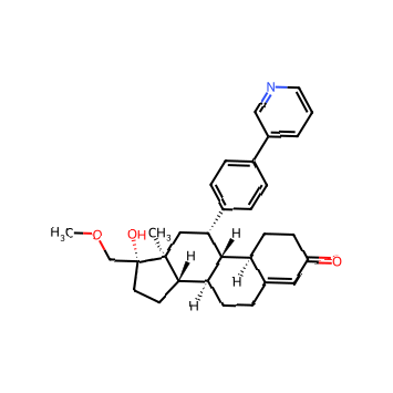 COC[C@]1(O)CC[C@H]2[C@@H]3CCC4=CC(=O)CC[C@@H]4[C@H]3[C@@H](c3ccc(-c4cccnc4)cc3)C[C@@]21C